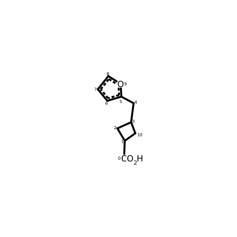 O=C(O)C1CC(Cc2ccco2)C1